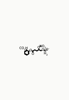 O=C(CCC(CO[NH2+][O-])O[N+](=O)[O-])Oc1ccccc1C(=O)O